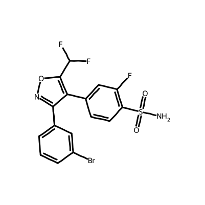 NS(=O)(=O)c1ccc(-c2c(-c3cccc(Br)c3)noc2C(F)F)cc1F